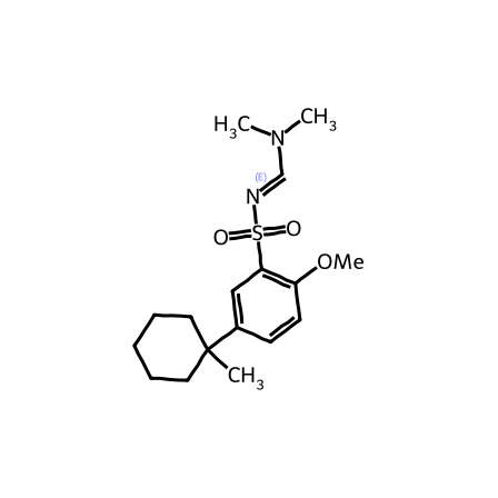 COc1ccc(C2(C)CCCCC2)cc1S(=O)(=O)/N=C/N(C)C